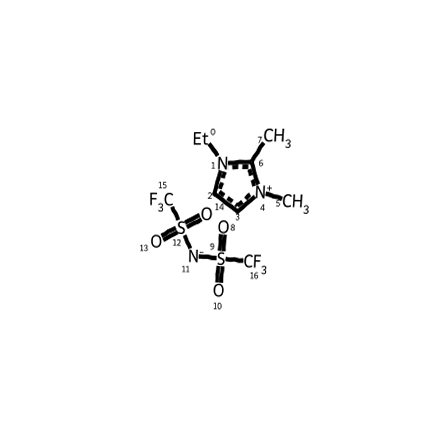 CCn1cc[n+](C)c1C.O=S(=O)([N-]S(=O)(=O)C(F)(F)F)C(F)(F)F